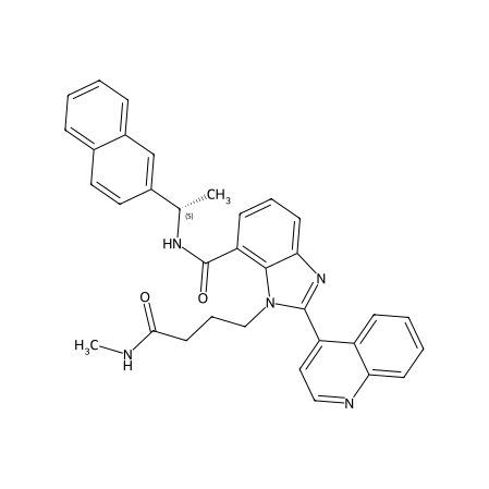 CNC(=O)CCCn1c(-c2ccnc3ccccc23)nc2cccc(C(=O)N[C@@H](C)c3ccc4ccccc4c3)c21